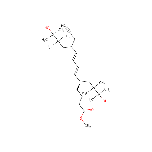 C#CCC(/C=C/C=C/[C@H](CCCC(=O)OC)CC(C)(C)[Si](C)(C)O)CC(C)(C)[Si](C)(C)O